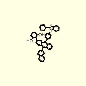 Oc1cccc(O)c1-c1ccc2c(-c3ccc4ccccc4c3)c3ccccc3c(-c3ccc(-n4c(C5C=CC=CC5)nc5ccccc54)cc3)c2c1